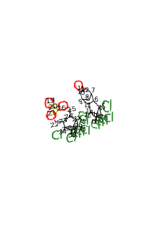 ClC1=C(Cl)C2(Cl)C3C4CC(C5OC45)C3C1(Cl)C2(Cl)Cl.O=S1OCC2C(CO1)C1(Cl)C(Cl)=C(Cl)C2(Cl)C1(Cl)Cl